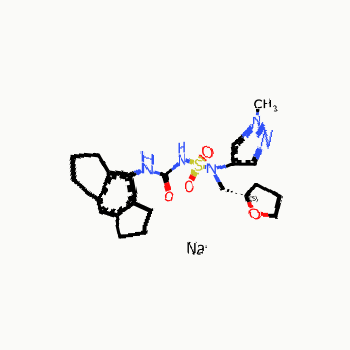 Cn1cc(N(C[C@@H]2CCCO2)S(=O)(=O)NC(=O)Nc2c3c(cc4c2CCC4)CCC3)cn1.[Na]